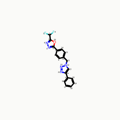 FC(F)c1nnc(-c2ccc(Cn3cc(-c4ccccc4)nn3)cc2)o1